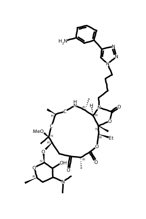 CC[C@H]1OC(=O)[C@H](C)C(=O)C[C@@H](O[C@@H]2O[C@H](C)CC(N(C)C)C2O)[C@@](C)(OC)C[C@@H](C)CN[C@H](C)[C@H]2N(CCCCn3cc(-c4cccc(N)c4)nn3)C(=O)O[C@]12C